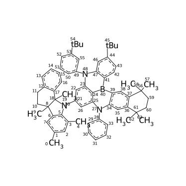 Cc1cc(C)c2c(c1)C1(C)CCc3ccccc3C1(C)N2c1cc2c3c(c1)N(c1ccccc1)c1cc4c(cc1B3c1ccc(C(C)(C)C)cc1N2c1cccc(C(C)(C)C)c1)C(C)(C)CCC4(C)C